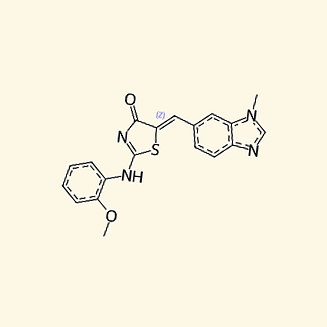 COc1ccccc1NC1=NC(=O)/C(=C/c2ccc3ncn(C)c3c2)S1